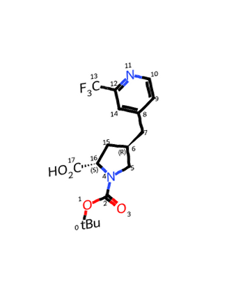 CC(C)(C)OC(=O)N1C[C@H](Cc2ccnc(C(F)(F)F)c2)C[C@H]1C(=O)O